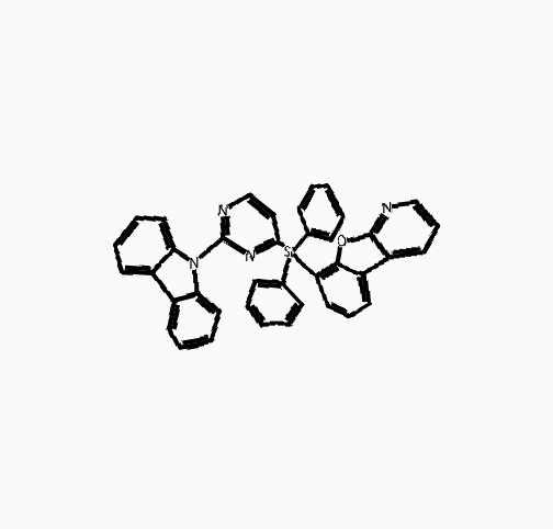 c1ccc([Si](c2ccccc2)(c2ccnc(-n3c4ccccc4c4ccccc43)n2)c2cccc3c2oc2ncccc23)cc1